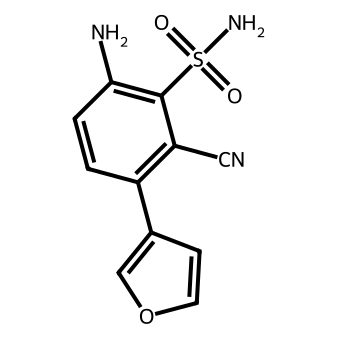 N#Cc1c(-c2ccoc2)ccc(N)c1S(N)(=O)=O